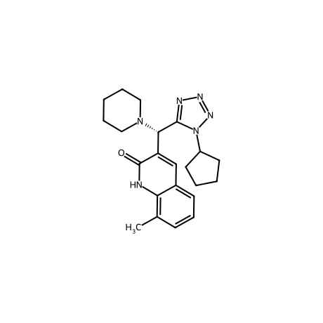 Cc1cccc2cc([C@@H](c3nnnn3C3CCCC3)N3CCCCC3)c(=O)[nH]c12